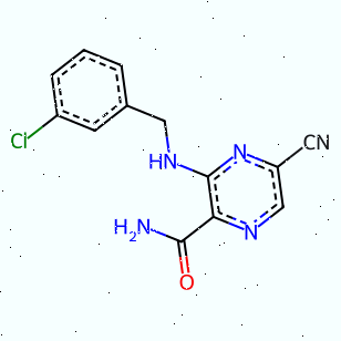 N#Cc1cnc(C(N)=O)c(NCc2cccc(Cl)c2)n1